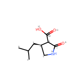 CC(C)C[C@@H]1CNC(=O)C1C(=O)O